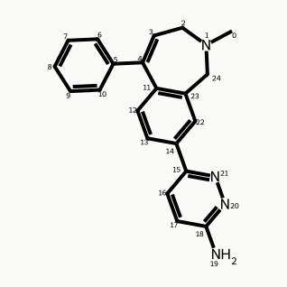 CN1CC=C(c2ccccc2)c2ccc(-c3ccc(N)nn3)cc2C1